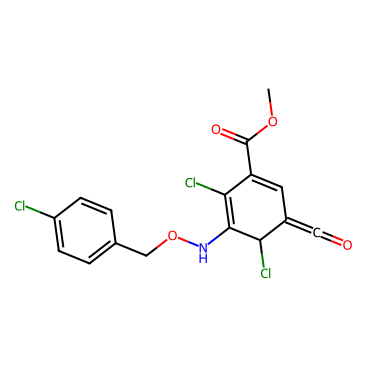 COC(=O)C1=CC(=C=O)C(Cl)C(NOCc2ccc(Cl)cc2)=C1Cl